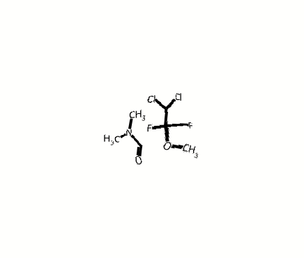 CN(C)C=O.COC(F)(F)C(Cl)Cl